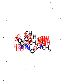 COc1cc([C@@H]2c3cc4c(cc3[C@H](O)[C@@H](CO)[C@H]2C(=O)N/N=C/c2cccc(OCCCN(C)CCC(O)(P(=O)(O)O)P(=O)(O)O)c2)OCO4)cc(OC)c1OC